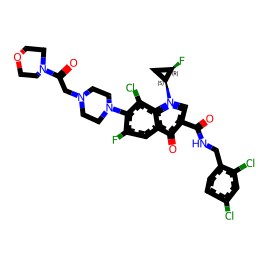 O=C(NCc1ccc(Cl)cc1Cl)c1cn([C@H]2C[C@H]2F)c2c(Cl)c(N3CCN(CC(=O)N4CCOCC4)CC3)c(F)cc2c1=O